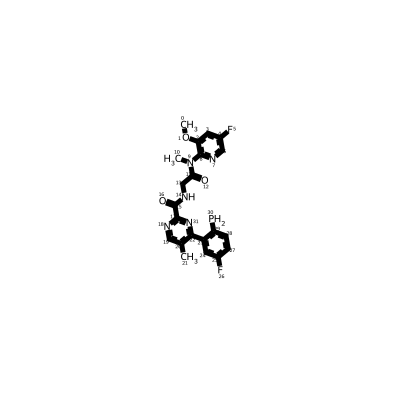 COc1cc(F)cnc1N(C)C(=O)CNC(=O)c1ncc(C)c(-c2cc(F)ccc2P)n1